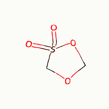 O=S1(=O)COCO1